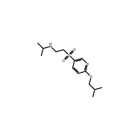 CC(C)COc1ccc(S(=O)(=O)CCNC(C)C)cn1